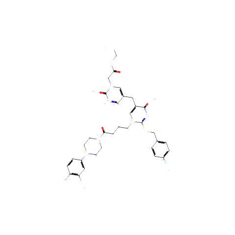 CCOC(=O)Cn1cc(Cc2cn(CCCC(=O)N3CCN(c4ccc(Cl)c(Cl)c4)CC3)c(SCc3ccc(F)cc3)nc2=O)cnc1=O